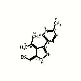 CC/C=c1/[nH]nc(-c2ccc(C)nc2)c1=C(C)C